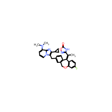 CC(=C1c2ccc(Cc3c(C4CC4)nc4c(N(C)C)cccn34)cc2COc2cc(F)ccc21)c1noc(=O)[nH]1